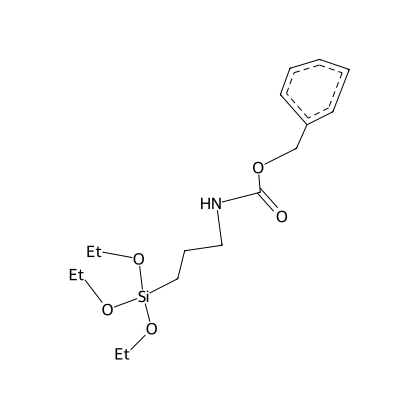 CCO[Si](CCCNC(=O)OCc1ccccc1)(OCC)OCC